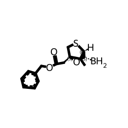 B[C@@H]1O[C@]2(CC(=O)OCc3ccccc3)CS[C@@H]1C2C